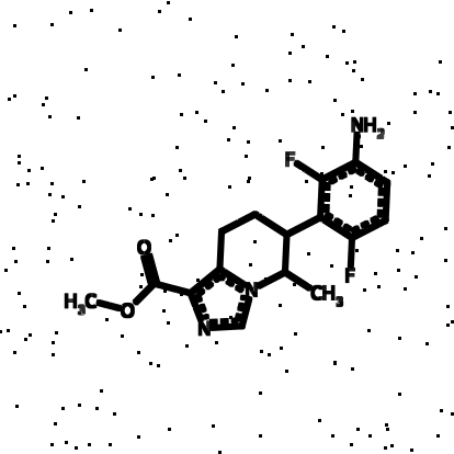 COC(=O)c1ncn2c1CCC(c1c(F)ccc(N)c1F)C2C